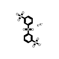 O=S(=O)([O-])c1cccc(S(=O)(=O)c2cccc(S(=O)(=O)[O-])c2)c1.[K+].[K+]